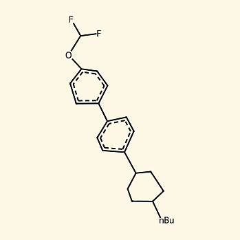 CCCCC1CCC(c2ccc(-c3ccc(OC(F)F)cc3)cc2)CC1